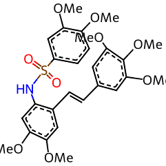 COc1ccc(S(=O)(=O)Nc2cc(OC)c(OC)cc2C=Cc2cc(OC)c(OC)c(OC)c2)cc1OC